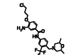 CC1CN(Cc2ccc(NC(=O)c3ccc(OCCCCl)c(N)c3)cc2C(F)(F)F)CC(C)O1